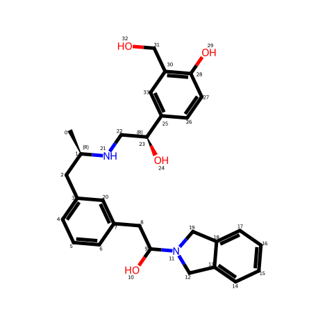 C[C@H](Cc1cccc(CC(O)N2Cc3ccccc3C2)c1)NC[C@H](O)c1ccc(O)c(CO)c1